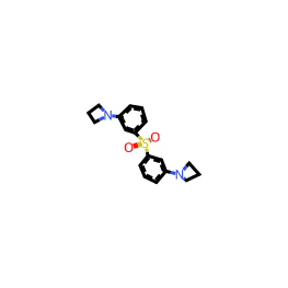 O=S(=O)(c1cccc(N2CCC2)c1)c1cccc(N2CCC2)c1